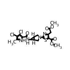 COC(=O)Cc1nc(N2C[C@@H]3[C@H](C2)[C@@H]3NC(=O)c2[nH]c(C)c(Cl)c2Cl)sc1C(=O)OC